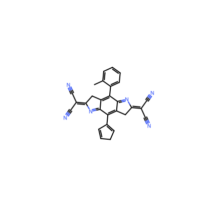 Cc1ccccc1-c1c2c(c(C3=CCC=C3)c3c1=NC(=C(C#N)C#N)C3)=NC(=C(C#N)C#N)C2